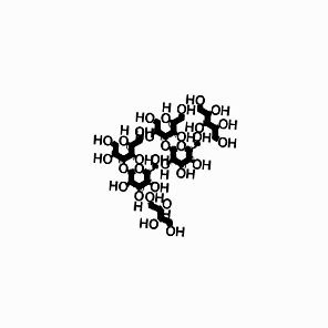 OCC(O)C(O)CO.OC[C@@H](O)[C@@H](O[C@@H]1O[C@H](CO)[C@H](O)[C@H](O)[C@H]1O)[C@H](O)[C@@H](O)CO.OC[C@@H](O)[C@@H](O[C@H]1O[C@H](CO)[C@@H](O)[C@H](O)[C@H]1O)[C@H](O)[C@@H](O)CO.OC[C@@H](O)[C@H](O)[C@@H](O)CO